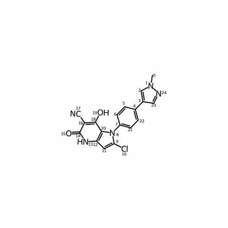 Cn1cc(-c2ccc(-n3c(Cl)cc4[nH]c(=O)c(C#N)c(O)c43)cc2)cn1